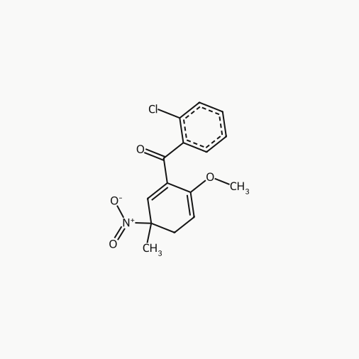 COC1=CCC(C)([N+](=O)[O-])C=C1C(=O)c1ccccc1Cl